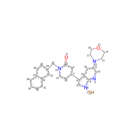 O=c1cc(-c2cn(S)c3ncc(N4CCOCC4)cc23)ccn1Cc1ccc2ccccc2c1